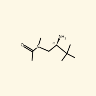 CC(=O)N(C)C[C@@H](N)C(C)(C)C